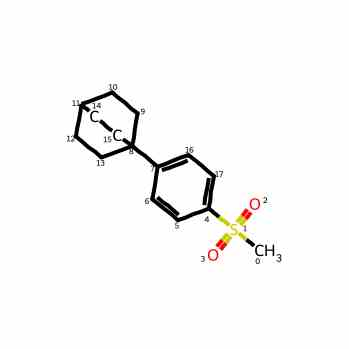 CS(=O)(=O)c1ccc(C23CCC(CC2)CC3)cc1